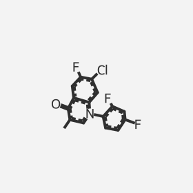 Cc1cn(-c2ccc(F)cc2F)c2cc(Cl)c(F)cc2c1=O